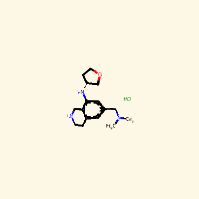 CN(C)Cc1cc2c(c(N[C@@H]3CCOC3)c1)CNCC2.Cl